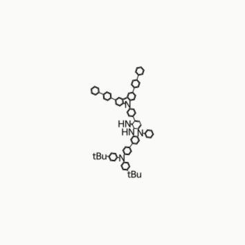 CC(C)(C)c1ccc(N(c2ccc(-c3ccc(N(C4=CC=C(c5ccc(-n6c7ccc(-c8ccc(-c9ccccc9)cc8)cc7c7cc(-c8ccc(-c9ccccc9)cc8)ccc76)cc5)C(=N)C4=N)c4ccccc4)cc3)cc2)c2ccc(C(C)(C)C)cc2)cc1